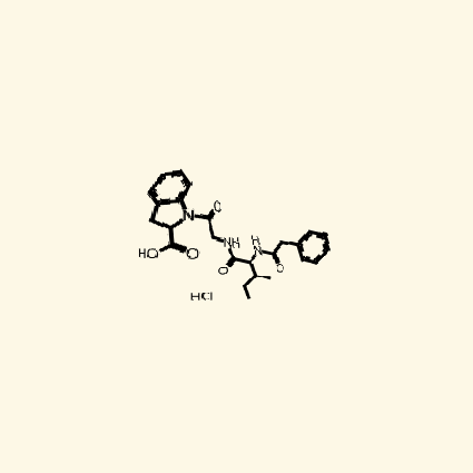 CC[C@H](C)[C@H](NC(=O)Cc1ccccc1)C(=O)NCC(=O)N1c2ccccc2CC1C(=O)O.Cl